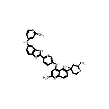 Cc1cc(Nc2ccc3nc(-c4ccc(Nc5cc(C)nc6ccc([C@@]7(C)CCO[C@H](C)C7)cc56)cn4)[nH]c3c2)ccn1